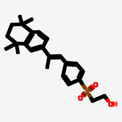 C/C(=C\c1ccc(S(=O)(=O)CCO)cc1)c1ccc2c(c1)C(C)(C)CCC2(C)C